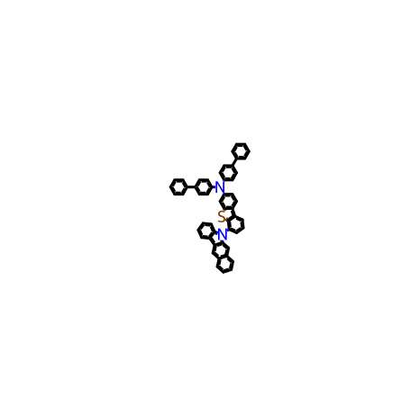 c1ccc(-c2ccc(N(c3ccc(-c4ccccc4)cc3)c3ccc4c(c3)sc3c(-n5c6ccccc6c6cc7ccccc7cc65)cccc34)cc2)cc1